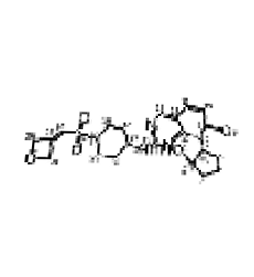 C[C@@]1(O)CCC[C@H]1n1c(=O)ccc2cnc(NC3CCN(S(=O)(=O)C=C4COC4)CC3)nc21